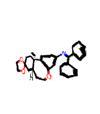 C=C[C@@]12CCC3(C[C@@H]1CCOc1cc(N=C(c4ccccc4)c4ccccc4)ccc12)OCCO3